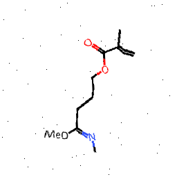 C=C(C)C(=O)OCCC/C(=N/C)OC